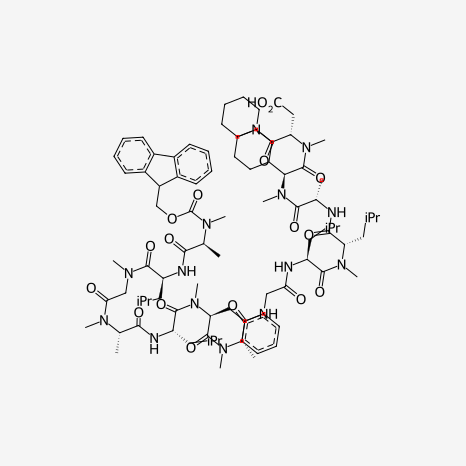 CC(C)C[C@H](NC(=O)[C@H](C)N(C)C(=O)OCC1c2ccccc2-c2ccccc21)C(=O)N(C)CC(=O)N(C)[C@@H](C)C(=O)N[C@@H](CC(C)C)C(=O)N(C)[C@@H](Cc1ccccc1)C(=O)N(C)[C@@H](C)C(=O)NCC(=O)N[C@@H](CC(C)C)C(=O)N(C)[C@@H](CC(C)C)C(=O)N[C@@H](C)C(=O)N(C)[C@H](C(=O)N(C)[C@@H](CC(=O)O)C(=O)N1CCCCC1)C1CCCCC1